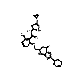 O=C(NC1CC(C2CC2)=NN1)C1=C(Cl)C=CCC1OCC1CC(=O)n2nc(C3CC=CCC3)nc2N1